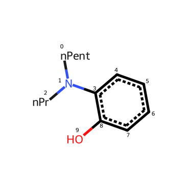 CCCCCN(CCC)c1ccccc1O